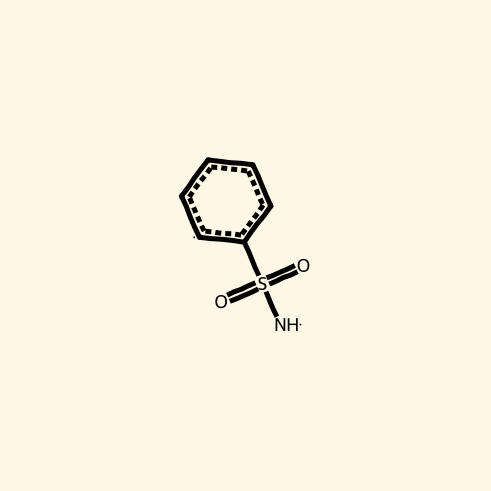 [NH]S(=O)(=O)c1[c]cccc1